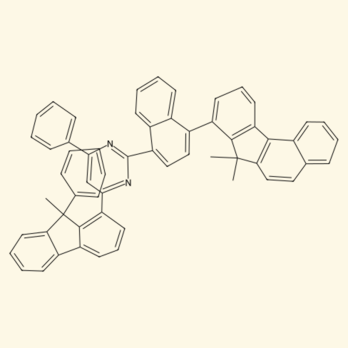 CC1(C)c2ccc3ccccc3c2-c2cccc(-c3ccc(-c4nc(-c5ccccc5)cc(-c5cccc6c5C(C)(c5ccccc5)c5ccccc5-6)n4)c4ccccc34)c21